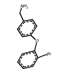 CC(C)c1ccccc1Oc1ccc(CN)cc1